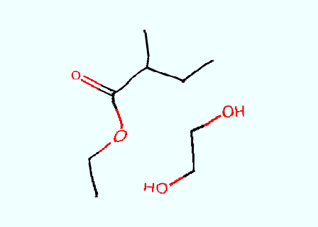 CCOC(=O)C(C)CC.OCCO